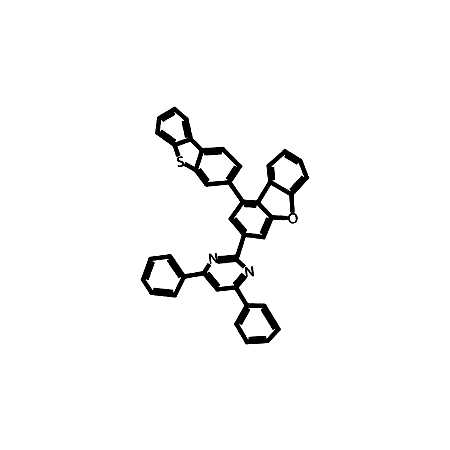 c1ccc(-c2cc(-c3ccccc3)nc(-c3cc(-c4ccc5c(c4)sc4ccccc45)c4c(c3)oc3ccccc34)n2)cc1